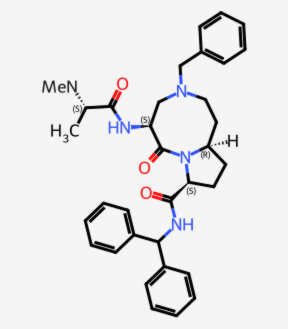 CN[C@@H](C)C(=O)N[C@H]1CN(Cc2ccccc2)CC[C@H]2CC[C@@H](C(=O)NC(c3ccccc3)c3ccccc3)N2C1=O